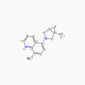 N#Cc1ccc(N2CC3CC3(C(F)(F)F)C2)c2cccnc12